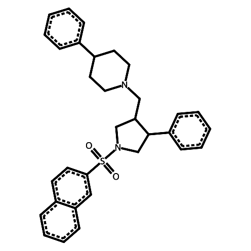 O=S(=O)(c1ccc2ccccc2c1)N1CC(CN2CCC(c3ccccc3)CC2)C(c2ccccc2)C1